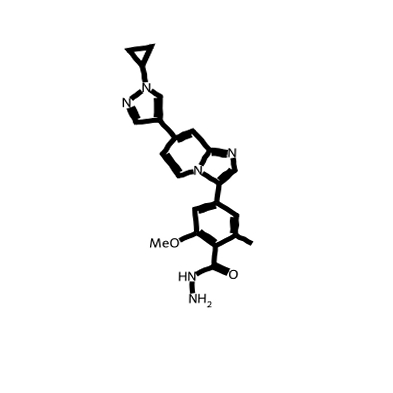 COc1cc(-c2cnc3cc(-c4cnn(C5CC5)c4)ccn23)cc(C)c1C(=O)NN